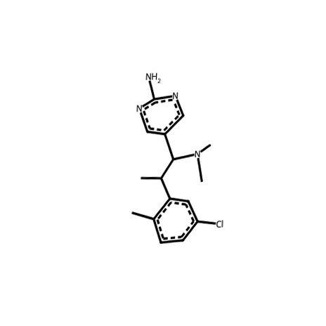 Cc1ccc(Cl)cc1C(C)C(c1cnc(N)nc1)N(C)C